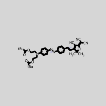 CC(C)(C)C(=O)OCCN(CCOC(=O)C(C)(C)C)c1ccc(/N=N/c2ccc(/C=C/C3=C(C#N)C(=C(C#N)C#N)OC3(C)C)cc2)cc1